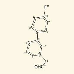 O=CCc1ccnc(-c2ccc(F)cc2)c1